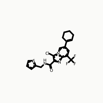 O=C(NCc1cccs1)c1nc2c(C(F)(F)F)cc(C3=CCCCC3)cn2c1Cl